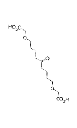 O=C(O)COCCCCC(=O)CCCCOCC(=O)O